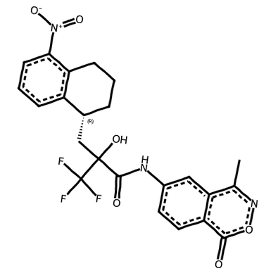 Cc1noc(=O)c2ccc(NC(=O)C(O)(C[C@H]3CCCc4c3cccc4[N+](=O)[O-])C(F)(F)F)cc12